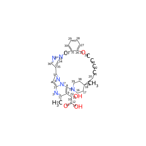 Cc1nc2cc3nn2c(c1[C@H](O)C(=O)O)N1CCC(C)(CCCCCOc2ccccc2Cn2cc-3cn2)CC1